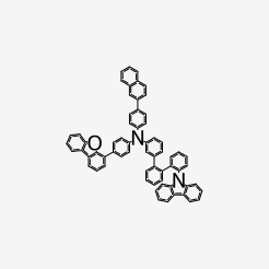 c1cc(-c2ccccc2-c2ccccc2-n2c3ccccc3c3ccccc32)cc(N(c2ccc(-c3ccc4ccccc4c3)cc2)c2ccc(-c3cccc4c3oc3ccccc34)cc2)c1